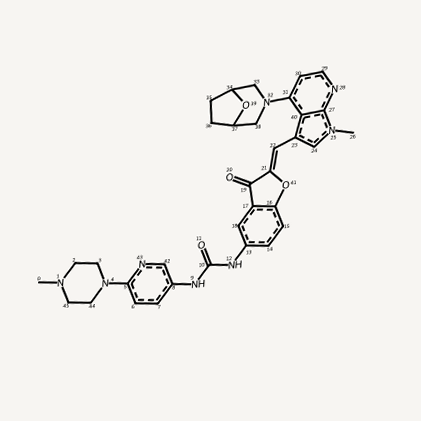 CN1CCN(c2ccc(NC(=O)Nc3ccc4c(c3)C(=O)C(=Cc3cn(C)c5nccc(N6CC7CCC(C6)O7)c35)O4)cn2)CC1